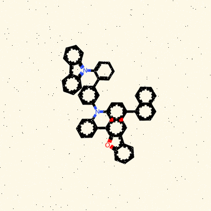 C1=C(c2cccc(N(c3ccc(-c4cccc5ccccc45)cc3)c3ccccc3-c3cccc4c3oc3ccccc34)c2)C(n2c3ccccc3c3ccccc32)=CCC1